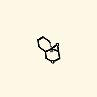 C1CC[C@]23OC2COCC3C1